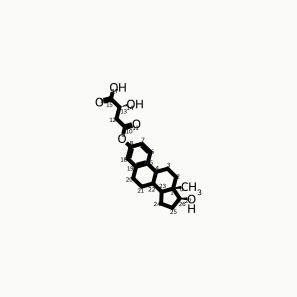 C[C@]12CCC3c4ccc(OC(=O)C[C@@H](O)C(=O)O)cc4CCC3C1CC[C@@H]2O